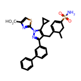 CC1CC(S(N)(=O)=O)=CC=C1Cc1c(-c2cccc(-c3ccccc3)c2)nn(-c2nc(C(=O)O)cs2)c1C1CC1